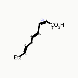 CCC=CCC=C/C=C\C(=O)O